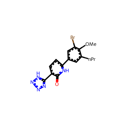 CCCc1cc(-c2ccc(-c3nnn[nH]3)c(=O)[nH]2)cc(Br)c1OC